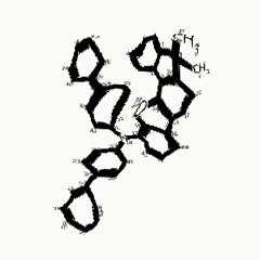 CC1(C)c2ccccc2-c2c1ccc1c2oc2c(N(c3ccc(-c4ccccc4)cc3)c3ccc(-c4ccccc4)cc3)cccc21